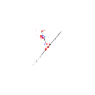 CCCCCCCCCCCCCCCC(=O)OC(CCCCCCCCCCCCCCC)CC(=O)C(N)CCCC(=O)N[C@@H](CCC(=O)O)C(=O)O